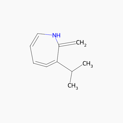 C=C1NC=CC=C=C1C(C)C